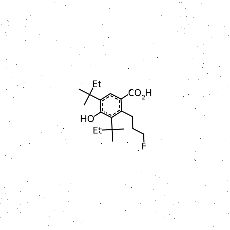 CCC(C)(C)c1cc(C(=O)O)c(CCCF)c(C(C)(C)CC)c1O